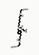 CCCCCC/C=C\COC(=O)CCCCCCCN(Cc1ccc(CCCC(=O)OC/C=C\CCCCCC)cc1)C(=O)SCCN(C)C